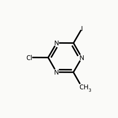 Cc1nc(Cl)nc(I)n1